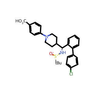 CC(C)(C)[S@+]([O-])N[C@@H](c1ccccc1-c1ccc(Cl)cc1)C1CCN(c2ccc(C(=O)O)cc2)CC1